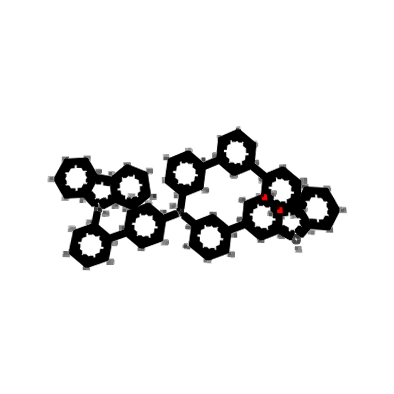 c1ccc(-c2cccc(-c3cccc(N(c4ccc(-c5ccccc5-n5c6ccccc6c6ccccc65)cc4)c4cccc(-c5ccc6c(c5)oc5ccccc56)c4)c3)c2)cc1